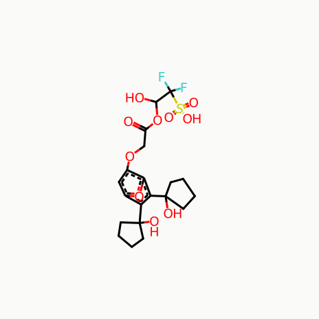 O=C(COc1cc2oc1c(C1(O)CCCC1)c2C1(O)CCCC1)OC(O)C(F)(F)S(=O)(=O)O